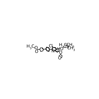 CCOC(=O)C1CC=C(c2ccc(-c3nc4cc(O[C@H]5CCOC5)n(COCC[Si](C)(C)C)c4cc3Cl)cc2)CC1